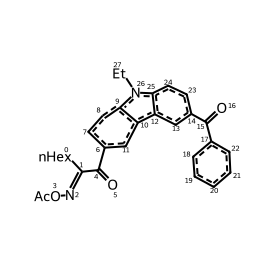 CCCCCC/C(=N\OC(C)=O)C(=O)c1ccc2c(c1)c1cc(C(=O)c3ccccc3)ccc1n2CC